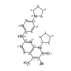 Cc1c(Br)c(=O)n(C2CCCC2)c2nc(Nc3ccc(N4CCCC4)cn3)ncc12